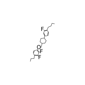 CCCCc1ccc(C2CCC(COc3ccc(CCC)c(F)c3F)CC2)cc1F